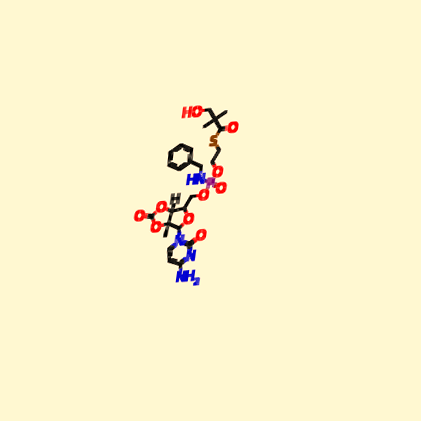 CC(C)(CO)C(=O)SCCOP(=O)(NCc1ccccc1)OCC1O[C@@H](n2ccc(N)nc2=O)[C@]2(C)OC(=O)O[C@H]12